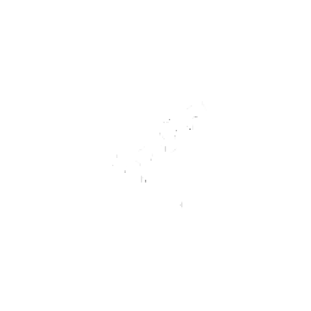 COc1ccccc1Nc1ncnc2c1ccn2-c1ccc(C(N)=O)c(NC2CCC(O)CC2)c1